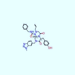 C=CCN1CC(=O)N2[C@@H](Cc3ccc(O)cc3)C(=O)N(CC3=CC4C(C=C3)N=NN4C)C[C@@H]2N1C(=O)NCc1ccccc1